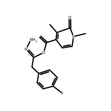 C=C(O/C(Cc1ccc(F)cc1)=N\N)c1ccn(C)c(=O)c1C